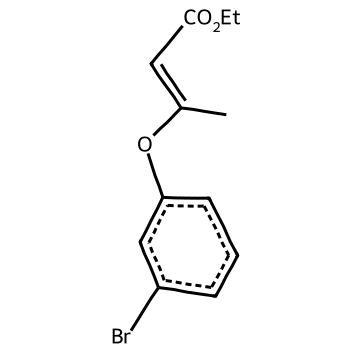 CCOC(=O)/C=C(\C)Oc1cccc(Br)c1